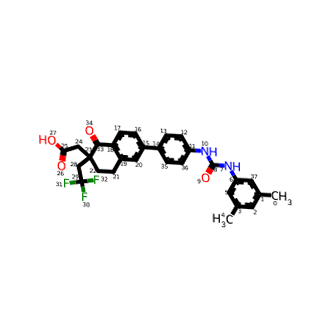 Cc1cc(C)cc(NC(=O)Nc2ccc(-c3ccc4c(c3)CCC(CC(=O)O)(CC(F)(F)F)C4=O)cc2)c1